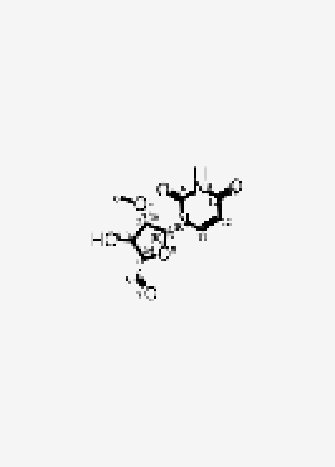 CO[C@H]1C(O)[C@@H](C=O)O[C@H]1n1ccc(=O)[nH]c1=O